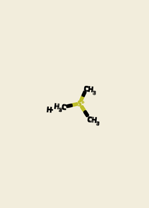 C[S+](C)C.[H]